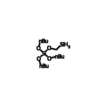 CCCCO[Si](OC[SiH3])(OCCCC)OCCCC